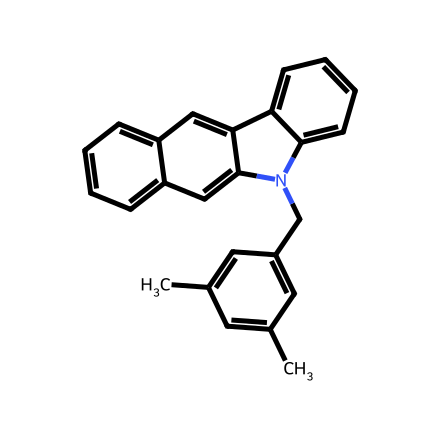 Cc1cc(C)cc(Cn2c3ccccc3c3cc4ccccc4cc32)c1